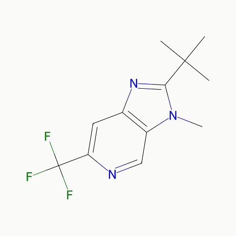 Cn1c(C(C)(C)C)nc2cc(C(F)(F)F)ncc21